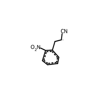 N#C[CH]Cc1ccccc1[N+](=O)[O-]